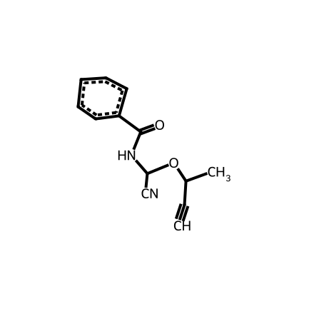 C#CC(C)OC(C#N)NC(=O)c1ccccc1